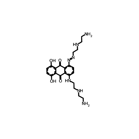 NCCNCCN=Nc1ccc(NCCNCCN)c2c1C(=O)c1c(O)ccc(O)c1C2=O